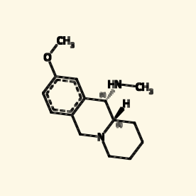 CN[C@H]1c2cc(OC)ccc2CN2CCCC[C@@H]12